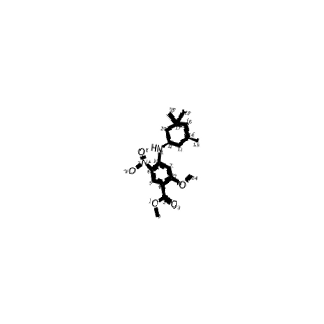 COC(=O)c1cc([N+](=O)[O-])c(N[C@@H]2C[C@H](C)CC(C)(C)C2)cc1OC